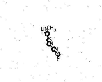 CNc1ccc(-c2cc3ccc(-c4ccc(N5CC[C@@H](F)C5)nc4)nc3s2)cc1F